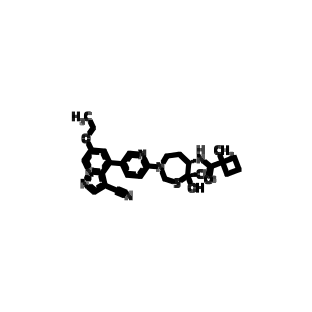 CCOc1cc(-c2ccc(N3CC[C@H](NC(=O)C4(C)CCC4)[C@](C)(O)SC3)nc2)c2c(C#N)cnn2c1